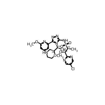 COc1cccc(-c2nnc(NS(=O)(=O)[C@@H](C)[C@H](OC)c3ncc(Cl)cn3)n2[C@@H](C)[C@@H]2CNCCO2)n1